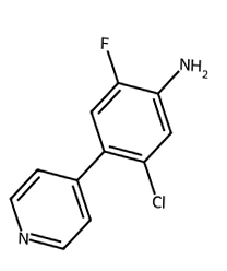 Nc1cc(Cl)c(-c2ccncc2)cc1F